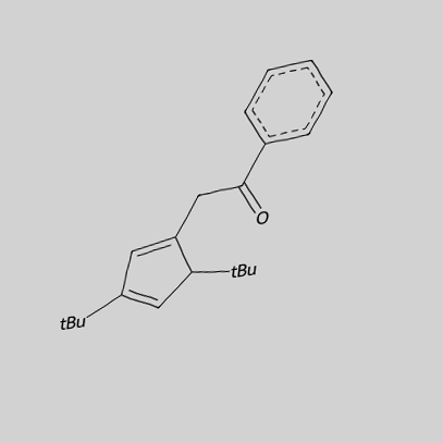 CC(C)(C)C1=CC(C(C)(C)C)C(CC(=O)c2ccccc2)=C1